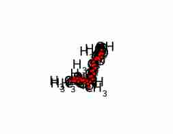 COc1ncc(-c2ccnc(N3CCn4c(cc5c4CC(C)(C)C5)C3=O)c2[C@H](C)O)cc1Nc1ccc(N2CCN(C3CCN(c4ccc5c(c4)C(=O)N(C4CCC(=O)N(C(C)OP(=O)(O)O)C4=O)C5=O)[C@H](C)C3)C[C@@H]2C)cn1